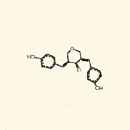 O=C1C(=Cc2ccc(O)cc2)COCC1=Cc1ccc(O)cc1